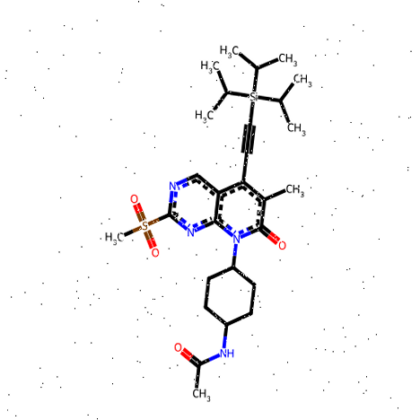 CC(=O)NC1CCC(n2c(=O)c(C)c(C#C[Si](C(C)C)(C(C)C)C(C)C)c3cnc(S(C)(=O)=O)nc32)CC1